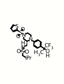 CC(C)CS(=O)(=O)NC[C@H]1CN(S(=O)(=O)c2cccs2)CCN1c1ccc([C@@](C)(O)C(F)(F)F)cc1